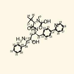 CN(C(=O)O)[C@H](C(=O)N[C@@H](Cc1ccc(-c2ccccn2)cc1)C[C@H](O)[C@@H](N)Cc1ccccc1)C(C)(C)C